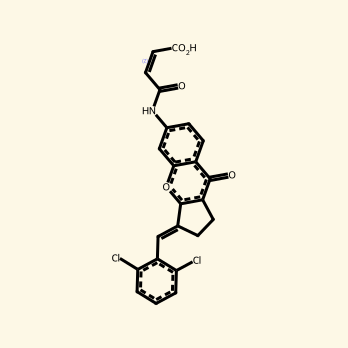 O=C(O)/C=C\C(=O)Nc1ccc2c(=O)c3c(oc2c1)C(=Cc1c(Cl)cccc1Cl)CC3